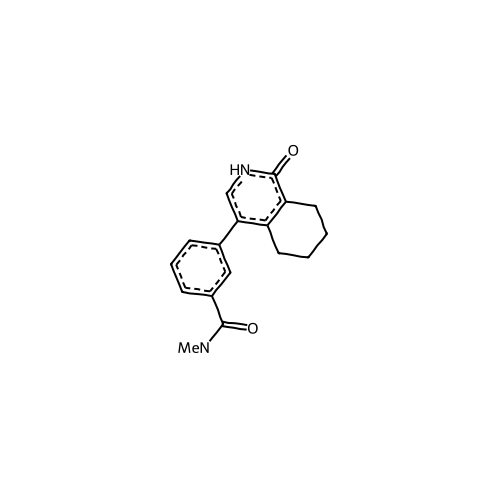 CNC(=O)c1cccc(-c2c[nH]c(=O)c3c2CCCC3)c1